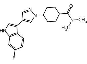 CN(C)C(=O)[C@H]1CC[C@H](n2cc(-c3c[nH]c4cc(F)ccc34)cn2)CC1